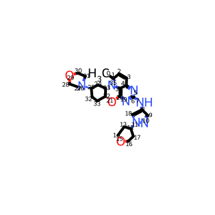 Cc1ccc2nc(Nc3cnn(C4CCOCC4)c3)nc(O[C@H]3CC[C@H](N4CCOCC4)CC3)c2n1